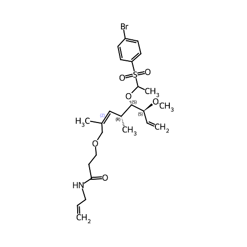 C=CCNC(=O)CCOC/C(C)=C\[C@@H](C)[C@H](OC(C)S(=O)(=O)c1ccc(Br)cc1)[C@H](C=C)OC